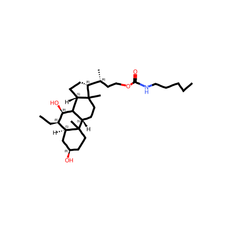 CCCCCNC(=O)OCC[C@@H](C)[C@H]1CC[C@H]2C3[C@H](O)[C@H](CC)[C@@H]4C[C@H](O)CCC4(C)[C@H]3CCC12C